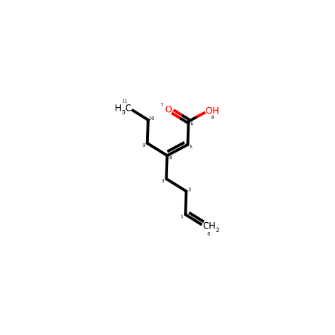 C=CCCC(=CC(=O)O)CCC